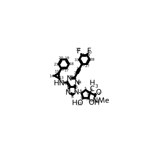 CNC(=O)C1(C)C[C@@H](n2cnc3c(NC4CC4c4ccccc4)nc(C#Cc4ccc(F)c(F)c4)nc32)[C@H](O)[C@@H]1O